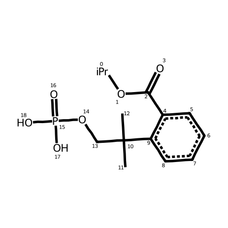 CC(C)OC(=O)c1ccccc1C(C)(C)COP(=O)(O)O